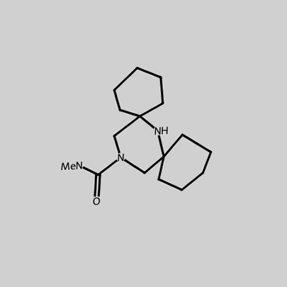 CNC(=O)N1CC2(CCCCC2)NC2(CCCCC2)C1